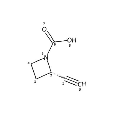 C#C[C@@H]1CCN1C(=O)O